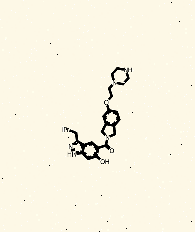 CC(C)Cc1n[nH]c2cc(O)c(C(=O)N3Cc4ccc(OCCN5CCNCC5)cc4C3)cc12